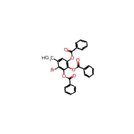 O=C(Oc1cc(C(=O)O)c(Br)c(OC(=O)c2ccccc2)c1OC(=O)c1ccccc1)c1ccccc1